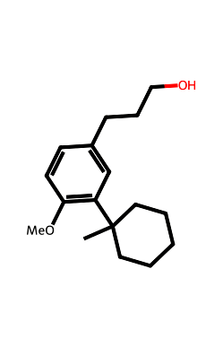 COc1ccc(CCCO)cc1C1(C)CCCCC1